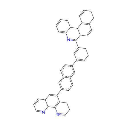 C1=CCC2C(=C1)N=C(C1=CC(c3ccc4cc(C5=CC6C=CC=NC6C6=C5CCC=N6)ccc4c3)=CCC1)C1C=CC3=C(C=CCC3)C12